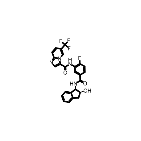 O=C(N[C@@H]1c2ccccc2C[C@@H]1O)c1ccc(F)c(NC(=O)c2cnc3ccc(C(F)(F)F)cn23)c1